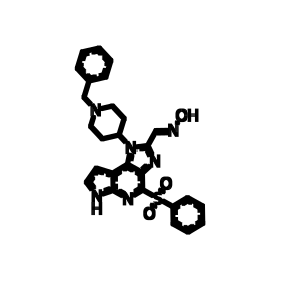 O=S(=O)(c1ccccc1)c1nc2[nH]ccc2c2c1nc(C=NO)n2C1CCN(Cc2ccccc2)CC1